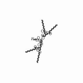 CCCCCCCCOC(=O)CC(COC(=O)CCCCCCCC)CC(=O)O[C@@H]1C[C@@H](COC(=O)CC(COC(=O)CCCCCCCC)COC(=O)CCCCCCCC)N(C(=O)OCCN(C)C)C1